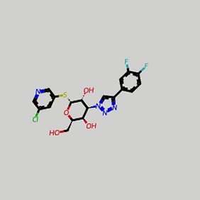 OC[C@H]1O[C@H](Sc2cncc(Cl)c2)[C@H](O)[C@@H](n2cc(-c3ccc(F)c(F)c3)nn2)[C@H]1O